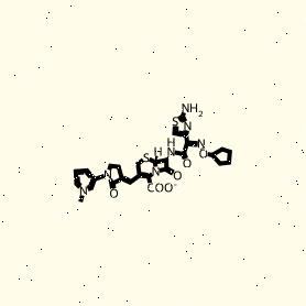 C[n+]1cccc(N2CC/C(=C\C3=C(C(=O)[O-])N4C(=O)[C@@H](NC(=O)/C(=N\OC5CCCC5)c5csc(N)n5)[C@H]4SC3)C2=O)c1